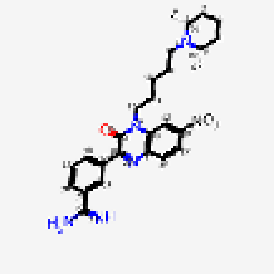 C[C@@H]1CCC[C@H](C)N1CCCCCn1c(=O)c(-c2cccc(C(=N)N)c2)nc2ccc([N+](=O)[O-])cc21